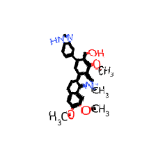 COc1cc2ccc3c4cc(-c5ccc6[nH]cnc6c5)c(CO)c(OC)c4c[n+](C)c3c2cc1OC